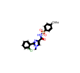 COc1ccc(S(=O)(=O)NC(=O)c2cn(C)c(-c3ccccc3Cl)n2)cc1